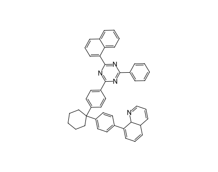 C1=CC2C=CC=C(c3ccc(C4(c5ccc(-c6nc(-c7ccccc7)nc(-c7cccc8ccccc78)n6)cc5)CCCCC4)cc3)C2N=C1